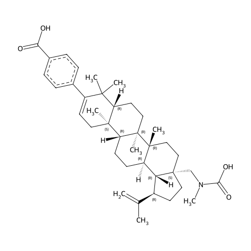 C=C(C)[C@@H]1CC[C@]2(CN(C)C(=O)O)CC[C@]3(C)[C@H](CC[C@@H]4[C@@]5(C)CC=C(c6ccc(C(=O)O)cc6)C(C)(C)[C@@H]5CC[C@]43C)[C@@H]12